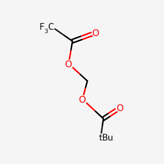 CC(C)(C)C(=O)OCOC(=O)C(F)(F)F